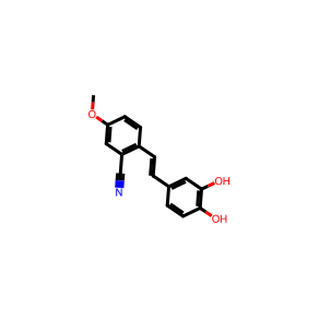 COc1ccc(C=Cc2ccc(O)c(O)c2)c(C#N)c1